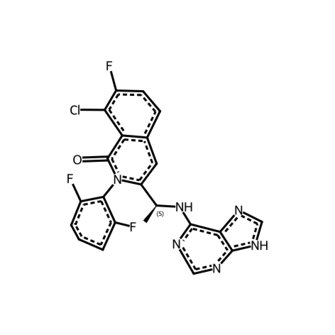 C[C@H](Nc1ncnc2[nH]cnc12)c1cc2ccc(F)c(Cl)c2c(=O)n1-c1c(F)cccc1F